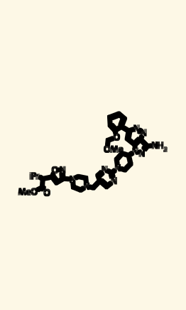 COCOc1ccccc1-c1cc2c(nn1)c(N)nn2C1CCN(c2ncc(CN3CCN(c4cc(C(C(=O)OC)C(C)C)on4)CC3)cn2)CC1